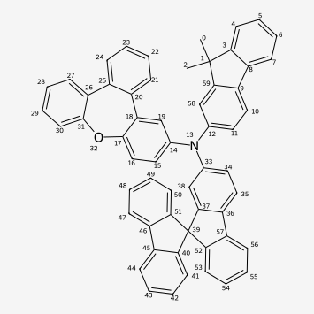 CC1(C)c2ccccc2-c2ccc(N(c3ccc4c(c3)-c3ccccc3-c3ccccc3O4)c3ccc4c(c3)C3(c5ccccc5-c5ccccc53)c3ccccc3-4)cc21